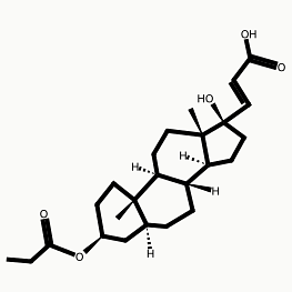 CCC(=O)O[C@H]1CC[C@@]2(C)[C@@H](CC[C@@H]3[C@@H]2CC[C@@]2(C)[C@H]3CC[C@@]2(O)/C=C/C(=O)O)C1